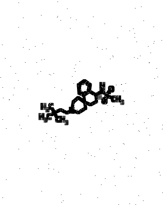 CC(C)(C)CCN1CCC2(CC[C@H](NS(C)(=O)=O)c3ccccc32)CC1